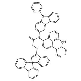 C=CC1Nc2cccc3c(N(C(=C)CCC4=CC5(c6ccccc64)c4ccccc4-c4ccccc45)c4ccc5c(c4)c4ccccc4n5-c4ccccc4)ccc(c23)C1C=C